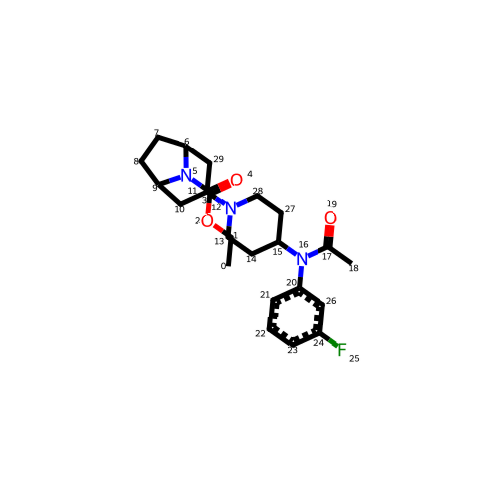 CCOC(=O)N1C2CCC1CC(N1CCC(N(C(C)=O)c3cccc(F)c3)CC1)C2